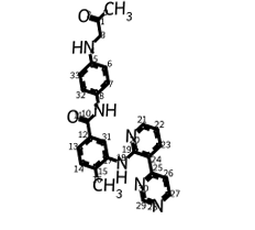 CC(=O)CNc1ccc(NC(=O)c2ccc(C)c(Nc3ncccc3-c3ccncn3)c2)cc1